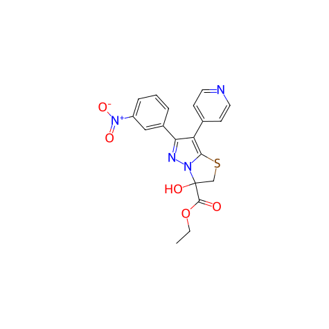 CCOC(=O)C1(O)CSc2c(-c3ccncc3)c(-c3cccc([N+](=O)[O-])c3)nn21